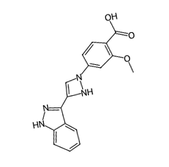 COc1cc(-n2cc(-c3n[nH]c4ccccc34)[nH]2)ccc1C(=O)O